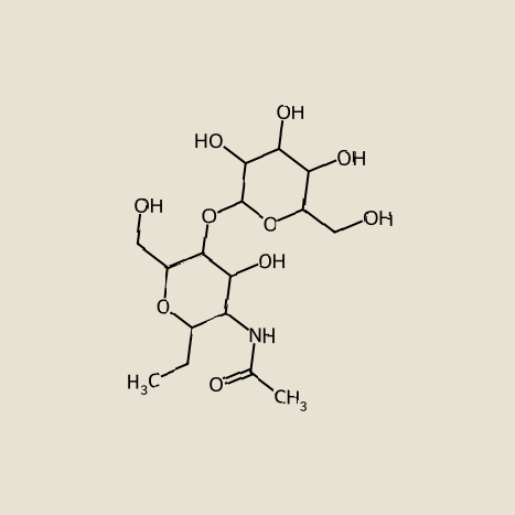 CCC1OC(CO)C(OC2OC(CO)C(O)C(O)C2O)C(O)C1NC(C)=O